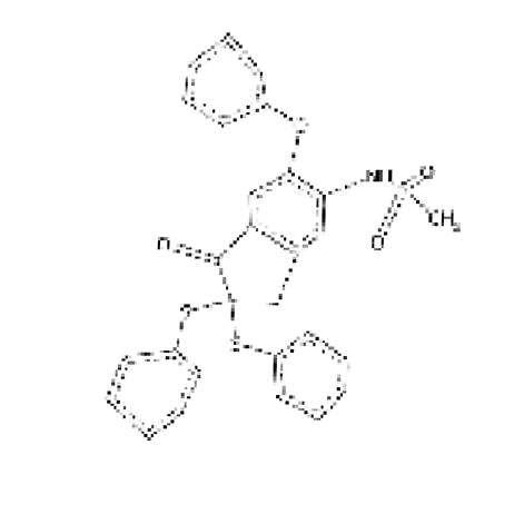 CS(=O)(=O)Nc1cc2c(cc1Oc1ccccc1)C(=O)C(Sc1ccccc1)(Sc1ccccc1)C2